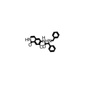 O=C(Nc1cc2cc[nH]c(=O)c2cc1Cl)C(NCc1ccccc1)c1ccccc1